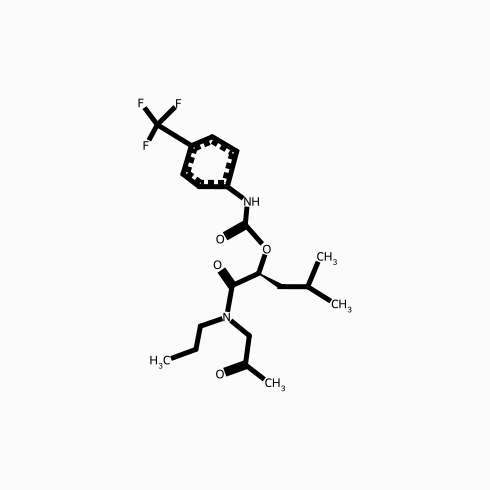 CCCN(CC(C)=O)C(=O)[C@H](CC(C)C)OC(=O)Nc1ccc(C(F)(F)F)cc1